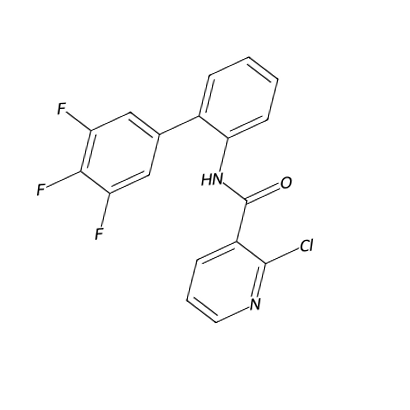 O=C(Nc1ccccc1-c1cc(F)c(F)c(F)c1)c1cccnc1Cl